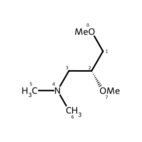 COC[C@@H](CN(C)C)OC